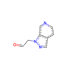 O=CCn1ncc2ccncc21